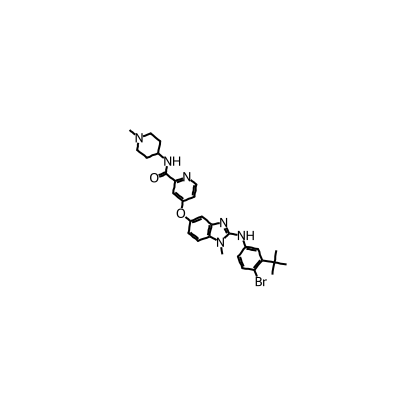 CN1CCC(NC(=O)c2cc(Oc3ccc4c(c3)nc(Nc3ccc(Br)c(C(C)(C)C)c3)n4C)ccn2)CC1